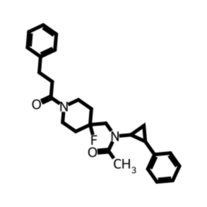 CC(=O)N(CC1(F)CCN(C(=O)CCc2ccccc2)CC1)C1CC1c1ccccc1